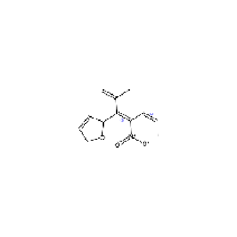 C=C(C)/C(=C(\C=C/C)[N+](=O)[O-])C1C=CCO1